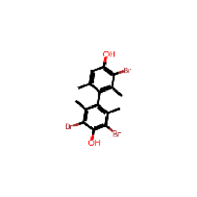 Cc1cc(O)c(Br)c(C)c1-c1c(C)c(Br)c(O)c(Br)c1C